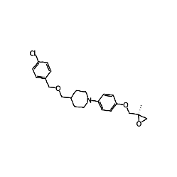 C[C@]1(COc2ccc(N3CCC(COCc4ccc(Cl)cc4)CC3)cc2)CO1